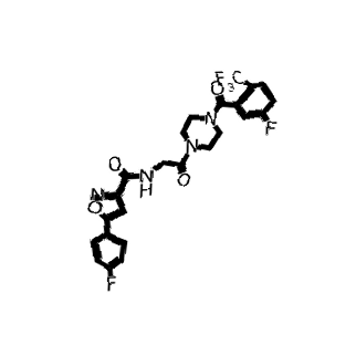 O=C(NCC(=O)N1CCN(C(=O)c2cc(F)ccc2C(F)(F)F)CC1)c1cc(-c2ccc(F)cc2)on1